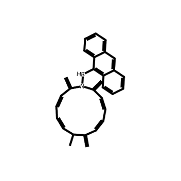 C=C1/C=C\C=C/C(=C)N(Bc2c3ccccc3cc3ccccc23)C(=C)/C=C\C=C/C1C